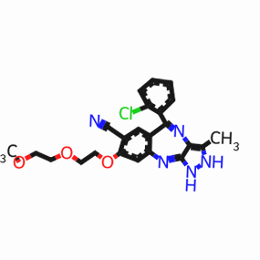 COCCOCCOc1cc2c(cc1C#N)C(c1ccccc1Cl)=NC1=C(C)NNC1=N2